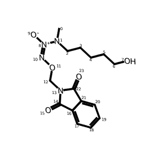 CN(CCCCCO)/[N+]([O-])=N\OCN1C(=O)c2ccccc2C1=O